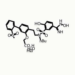 CCCCN(CCc1ccc(-c2ccccc2S(C)(=O)=O)cc1OCC(=O)O)S(=O)(=O)c1cc(C(=N)NO)ccc1O.Cl.O